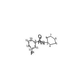 O=C(NC1CCCCC1)c1cccc(F)c1